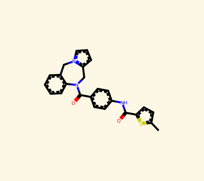 Cc1ccc(C(=O)Nc2ccc(C(=O)N3Cc4cccn4Cc4ccccc43)cc2)s1